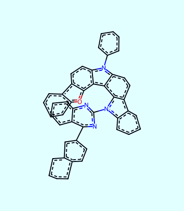 c1ccc(-n2c3ccc4c5ccccc5oc4c3c3c2ccc2c4ccccc4n(-c4nc(-c5ccc6ccccc6c5)c5ccccc5n4)c23)cc1